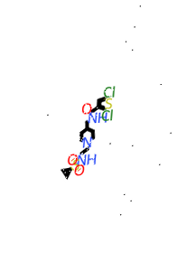 O=C(NCC1CCN(CCNS(=O)(=O)C2CC2)CC1)c1cc(Cl)sc1Cl